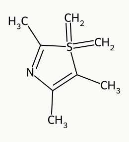 C=S1(=C)C(C)=NC(C)=C1C